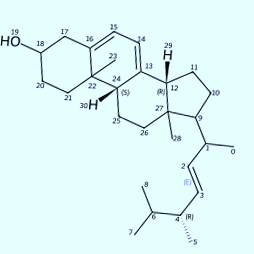 CC(/C=C/[C@H](C)C(C)C)C1CC[C@H]2C3=CC=C4CC(O)CCC4(C)[C@H]3CCC12C